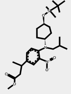 COC(=O)CC(C)c1ccc(N(CC(C)C)[C@H]2CC[C@H](O[Si](C)(C)C(C)(C)C)CC2)c([N+](=O)[O-])c1